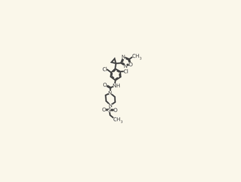 CCS(=O)(=O)N1CCN(C(=O)Nc2cc(Cl)c(C3(c4noc(C)n4)CC3)c(Cl)c2)CC1